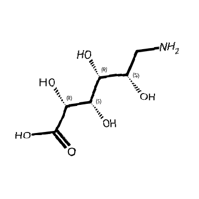 NC[C@H](O)[C@@H](O)[C@H](O)[C@@H](O)C(=O)O